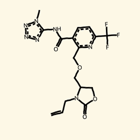 C=CCN1C(=O)OCC1COCc1nc(C(F)(F)F)ccc1C(=O)Nc1nnnn1C